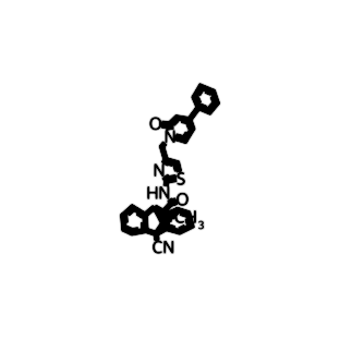 CC1(C(=O)Nc2nc(Cn3ccc(-c4ccccc4)cc3=O)cs2)CC2(C#N)c3ccccc3C1c1ccccc12